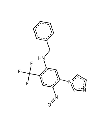 O=Nc1cc(C(F)(F)F)c(NCc2ccccc2)cc1-n1ccnc1